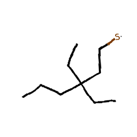 CCCC(CC)(CC)CC[S]